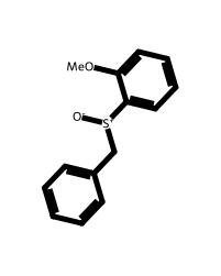 COc1ccccc1[S+]([O-])Cc1ccccc1